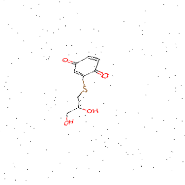 O=C1C=CC(=O)C(SCC(O)CO)=C1